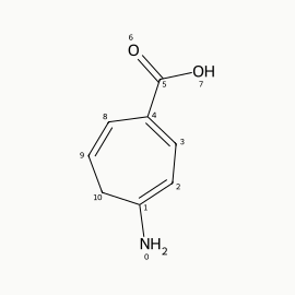 NC1=CC=C(C(=O)O)C=CC1